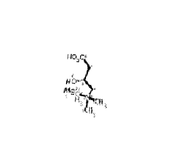 C[N+](C)(C)C[C@H](O)CC(=O)O.[Mg+2]